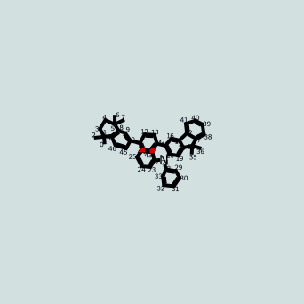 CC1(C)CCC(C)(C)c2cc(-c3ccc(-c4cc5c(cc4N(c4ccccc4)c4ccccc4)C(C)(C)c4ccccc4-5)cc3)ccc21